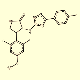 COc1cc(F)c(C2CNC(=O)[C@@H]2Nc2nnc(-c3ccc(F)cc3)o2)c(F)c1